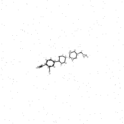 CC[C@H]1CO[C@H](C2CCC(c3ccc(C#N)c(F)c3)CC2)OC1